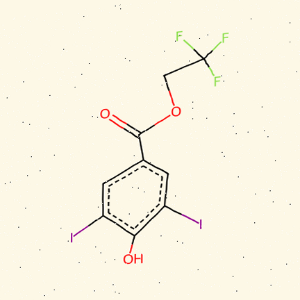 O=C(OCC(F)(F)F)c1cc(I)c(O)c(I)c1